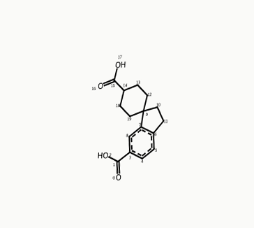 O=C(O)c1ccc2c(c1)C1(CC2)CCC(C(=O)O)CC1